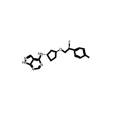 Cc1ccc([C@H](F)CO[C@H]2CC[C@H](Nc3ncnc4[nH]ncc34)C2)cc1